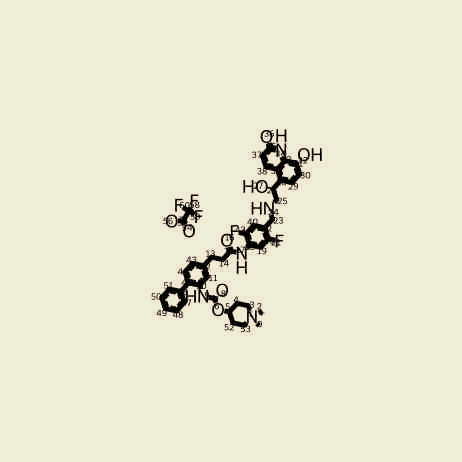 C[N+]1(C)CCC(OC(=O)Nc2cc(CCC(=O)Nc3cc(F)c(CNC[C@H](O)c4ccc(O)c5[nH]c(=O)ccc45)cc3F)ccc2-c2ccccc2)CC1.O=C([O-])C(F)(F)F